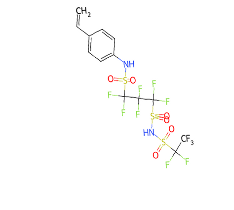 C=Cc1ccc(NS(=O)(=O)C(F)(F)C(F)(F)C(F)(F)S(=O)(=O)NS(=O)(=O)C(F)(F)C(F)(F)F)cc1